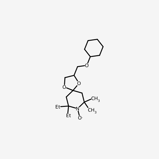 CCC1(CC)CC2(CC(C)(C)N1[O])OCC(COC1CCCCC1)O2